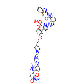 Cc1c(OCCCC2CCN(CCN3CCN(c4cccc5c(C6CCC(=O)NC6=O)nn(C)c45)CC3)CC2)cccc1-c1ccc(N2CCc3cccc(C(=O)Nc4nc5ccccc5s4)c3C2)nc1C(=O)O